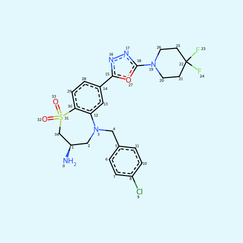 N[C@@H]1CN(Cc2ccc(Cl)cc2)c2cc(-c3nnc(N4CCC(F)(F)CC4)o3)ccc2S(=O)(=O)C1